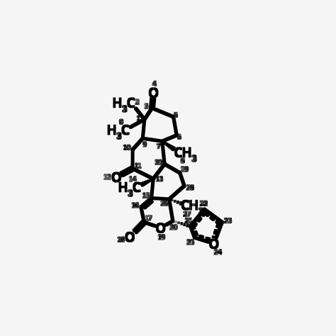 CC1(C)C(=O)CC[C@@]2(C)C1CC(=O)[C@@]1(C)C3=CC(=O)O[C@@H](c4ccoc4)[C@]3(C)CCC12